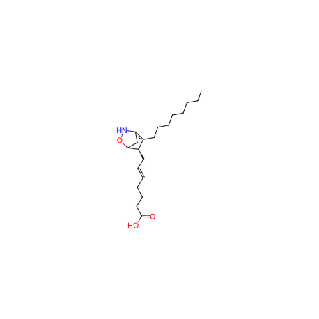 CCCCCCCCC1=C2CC(ON2)[C@@H]1CC=CCCCC(=O)O